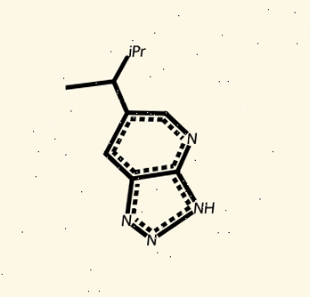 CC(C)C(C)c1cnc2[nH]nnc2c1